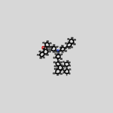 c1ccc(-c2c(-c3ccccc3)c3cc(-c4ccc(N(c5ccc(-c6ccc7ccccc7c6)cc5)c5ccc(-c6cccc7oc8c9ccccc9ccc8c67)cc5)cc4)ccc3c3ccccc23)cc1